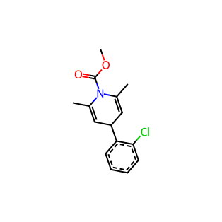 COC(=O)N1C(C)=CC(c2ccccc2Cl)C=C1C